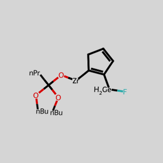 CCCCOC(CCC)(OCCCC)[O][Zr][C]1=[C]([GeH2][F])C=CC1